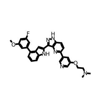 COc1cc(F)cc(-c2cccc3[nH]c(-c4n[nH]c5ccc(-c6cncc(OCCN(C)C)c6)nc45)cc23)c1